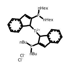 CCCCCCP(CCCCCC)C1=Cc2ccccc2[CH]1[Ti+2][CH]1C(P(CCCC)CCCC)=Cc2ccccc21.[Cl-].[Cl-]